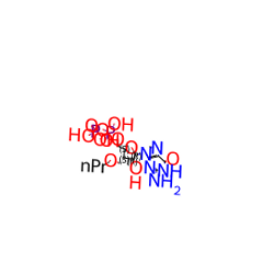 CCCOC[C@H]1[C@@H](O)[C@H](n2cnc3c(=O)[nH]c(N)nc32)O[C@@H]1COP(=O)(O)OP(=O)(O)O